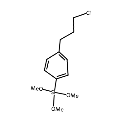 CO[Si](OC)(OC)c1ccc(CCCCl)cc1